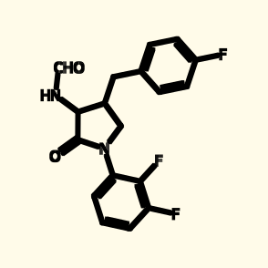 O=CNC1C(=O)N(c2cccc(F)c2F)CC1Cc1ccc(F)cc1